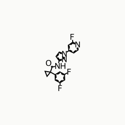 O=C(Nc1ccn(-c2ccnc(F)c2)n1)C1(c2cc(F)cc(F)c2)CC1